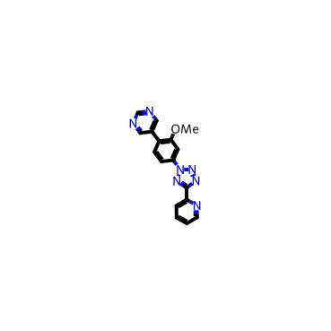 COc1cc(-n2nnc(-c3ccccn3)n2)ccc1-c1cncnc1